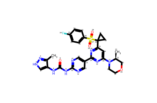 Cc1n[nH]cc1NC(=O)Nc1ncc(-c2nc(N3CCOC[C@@H]3C)cc(C3(S(=O)(=O)c4ccc(F)cc4)CC3)n2)cn1